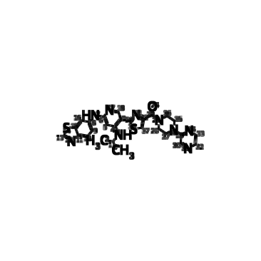 CC(C)Nc1cc(Nc2ccc3ncsc3c2)ncc1-c1nc(C(=O)N2CCN(c3cnccn3)CC2)cs1